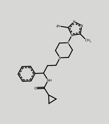 Cc1nnc(C(C)C)n1N1CCN(CCC(NC(=O)C2CC2)c2ccccc2)CC1